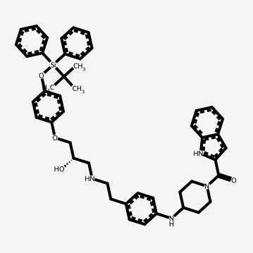 CC(C)(C)[Si](Oc1ccc(OC[C@@H](O)CNCCc2ccc(NC3CCN(C(=O)c4cc5ccccc5[nH]4)CC3)cc2)cc1)(c1ccccc1)c1ccccc1